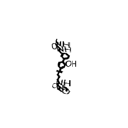 CCNC(=O)NCc1cccc(-c2ccc(C(C)(C)CCCNC(=O)N3CCOCC3)cc2O)c1